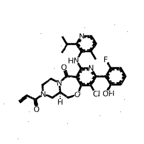 C=CC(=O)N1CCN2C(=O)c3c(Nc4c(C)ccnc4C(C)C)nc(-c4c(O)cccc4F)c(Cl)c3OC[C@H]2C1